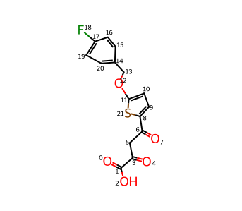 O=C(O)C(=O)CC(=O)c1ccc(OCc2ccc(F)cc2)s1